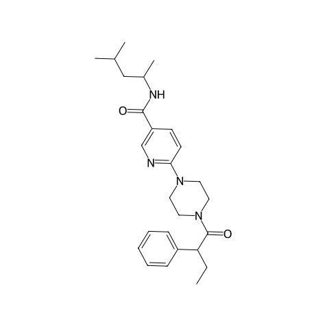 CCC(C(=O)N1CCN(c2ccc(C(=O)NC(C)CC(C)C)cn2)CC1)c1ccccc1